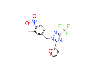 Cc1cc(Cn2nc(C(F)(F)F)nc2-c2ccco2)ccc1[N+](=O)[O-]